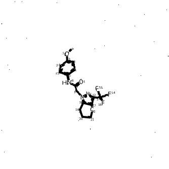 COc1ccc(NC(=O)Cn2nc(C(F)(F)F)c3c2CCCC3)cc1